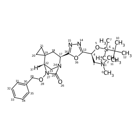 CN(C)C[C@H](O[Si](C)(C)C(C)(C)C)c1nnc([C@@H]2CC3(CC3)[C@@H]3CN2C(=O)N3OCc2ccccc2)o1